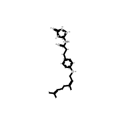 CC(C)=CCCC(C)=CCOc1ccc(CCC(=O)Nc2nc(=S)ss2)cc1